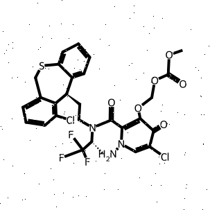 COC(=O)OCOc1c(C(=O)N(CC[C@@H]2c3ccccc3SCc3cccc(Cl)c32)[C@H](C)C(F)(F)F)n(N)cc(Cl)c1=O